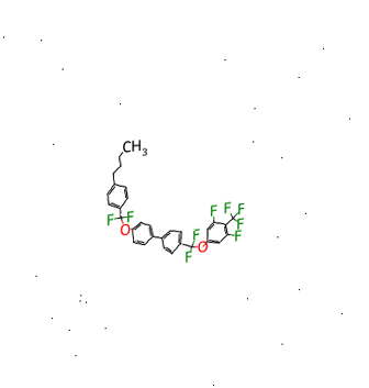 CCCCc1ccc(C(F)(F)Oc2ccc(-c3ccc(C(F)(F)Oc4cc(F)c(C(F)(F)F)c(F)c4)cc3)cc2)cc1